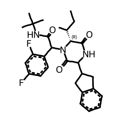 CCC(C)[C@@H]1C(=O)NC(C2Cc3ccccc3C2)C(=O)N1C(C(=O)NC(C)(C)C)c1ccc(F)cc1F